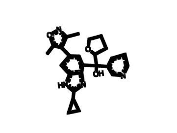 Cc1noc(C)c1-c1cc(C(O)(c2cccnc2)C2CCCO2)c2nc(C3CC3)[nH]c2c1